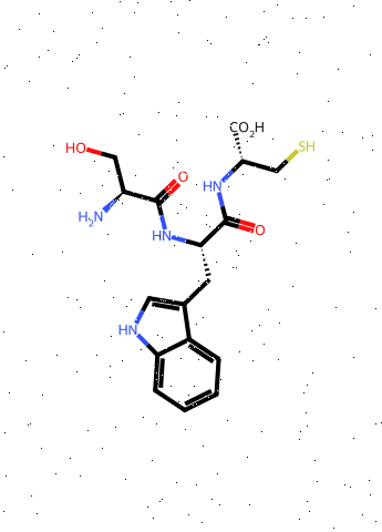 N[C@@H](CO)C(=O)N[C@@H](Cc1c[nH]c2ccccc12)C(=O)N[C@@H](CS)C(=O)O